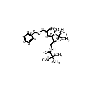 CCCCC(C)(C)C(=O)NCC1OC(C)(C)N(C(=O)O)C1CC(COCc1ccccc1)C(C)C